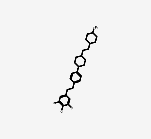 CCCC1CCC(CCC2CCC(c3ccc(CCc4cc(F)c(Cl)c(F)c4)cc3)CC2)CC1